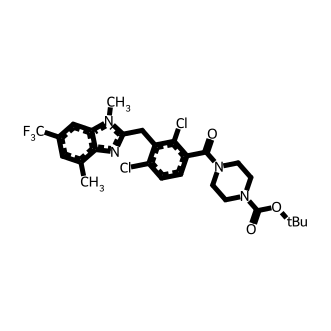 Cc1cc(C(F)(F)F)cc2c1nc(Cc1c(Cl)ccc(C(=O)N3CCN(C(=O)OC(C)(C)C)CC3)c1Cl)n2C